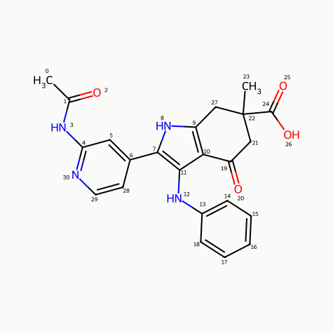 CC(=O)Nc1cc(-c2[nH]c3c(c2Nc2ccccc2)C(=O)CC(C)(C(=O)O)C3)ccn1